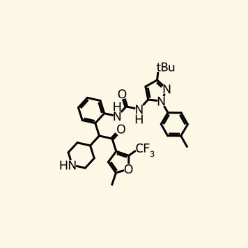 Cc1ccc(-n2nc(C(C)(C)C)cc2NC(=O)Nc2ccccc2C(C(=O)c2cc(C)oc2C(F)(F)F)C2CCNCC2)cc1